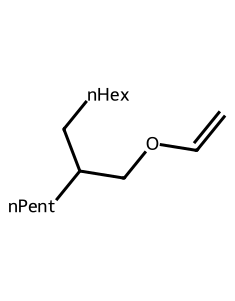 C=COCC(CCCCC)CCCCCCC